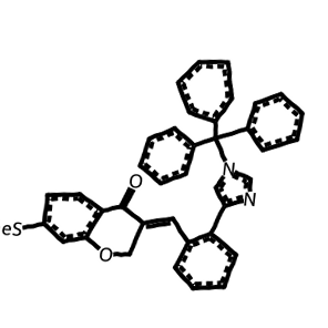 CSc1ccc2c(c1)OC/C(=C\c1ccccc1-c1cn(C(c3ccccc3)(c3ccccc3)c3ccccc3)cn1)C2=O